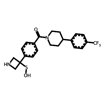 O=C(c1ccc(C2(SO)CNC2)cc1)N1CCC(c2ccc(C(F)(F)F)cc2)CC1